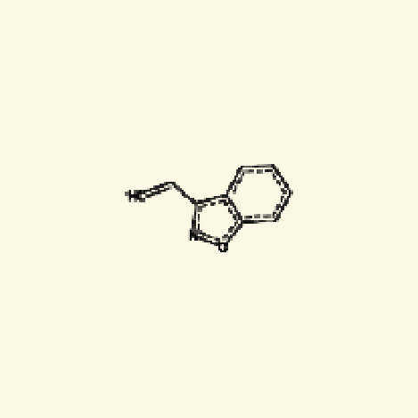 [CH]=Cc1noc2ccccc12